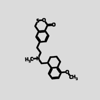 COc1cccc2c1CCCC2CN(C)CCc1ccc2c(c1)CSOC2=O